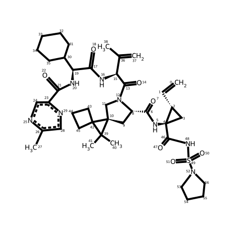 C=C[C@@H]1C[C@]1(NC(=O)[C@@H]1C[C@@]2(CN1C(=O)[C@@H](NC(=O)[C@@H](NC(=O)c1cnc(C)cn1)C1CCCCC1)C(=C)C)C(C)(C)C21CCC1)C(=O)NS(=O)(=O)N1CCCC1